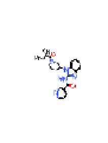 CC(C)C=C(C#N)C(=O)N1CCCC(n2c(NC(=O)c3cccnc3)nc3ccccc32)C1